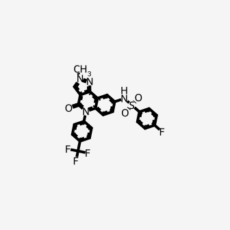 Cn1cc2c(=O)n(-c3ccc(C(F)(F)F)cc3)c3ccc(NS(=O)(=O)c4ccc(F)cc4)cc3c2n1